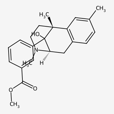 COC(=O)c1cccc(C2(O)[C@H]3Cc4ccc(C)cc4[C@@]2(C)CCN3C)c1